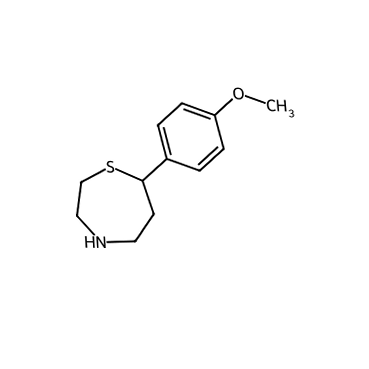 COc1ccc(C2CCNCCS2)cc1